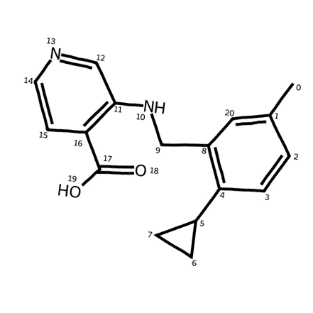 Cc1ccc(C2CC2)c(CNc2cnccc2C(=O)O)c1